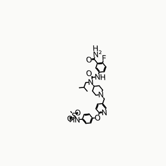 CC(C)CN(C(=O)Nc1ccc(F)c(C(N)=O)c1)C1CCN(Cc2ccc(Oc3ccc(NS(C)(=O)=O)cc3)nc2)CC1